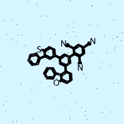 N#Cc1cc(C#N)c(-c2cc(-c3ccc4sc5ccccc5c4c3)cc(-c3cccc4oc5ccccc5c34)c2)c(C#N)c1